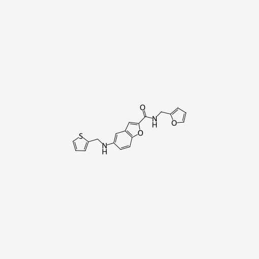 O=C(NCc1ccco1)c1cc2cc(NCc3cccs3)ccc2o1